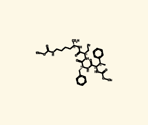 CC(C)C[C@@H](NC(=O)[C@@H](Cc1ccccc1)NC(=O)[C@H](NC(=O)OC(C)(C)C)[C@H](C)c1ccccc1)C(=O)N[C@H](CCCCNC(=O)OC(C)(C)C)C(=O)O